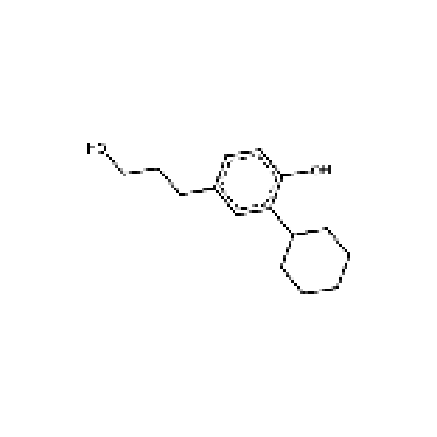 OCCCc1ccc(O)c(C2CCCCC2)c1